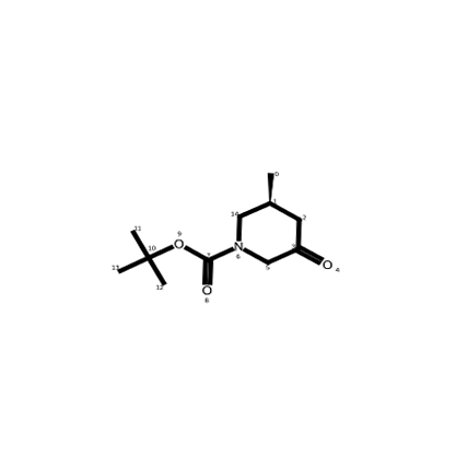 C[C@H]1CC(=O)CN(C(=O)OC(C)(C)C)C1